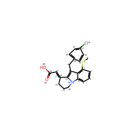 CSc1cccc2c1c(Cc1ccc(Cl)cc1)c1n2CCC/C1=C\C(=O)O